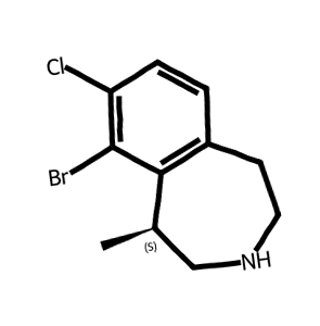 C[C@@H]1CNCCc2ccc(Cl)c(Br)c21